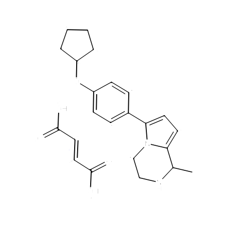 CC1NCCn2c(-c3ccc(OC4CCCC4)cc3)ccc21.O=C(O)/C=C/C(=O)O